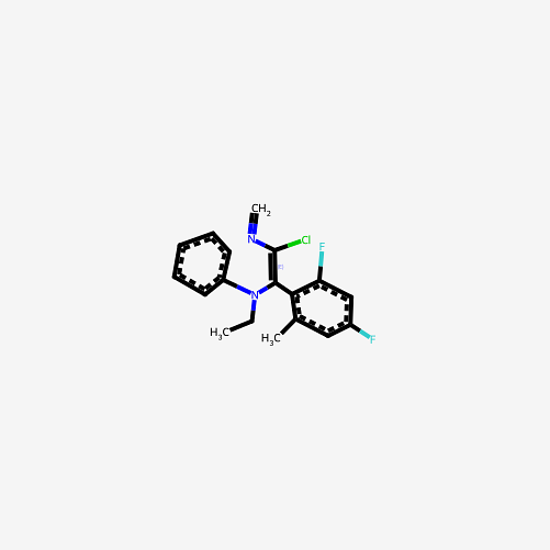 C=N/C(Cl)=C(/c1c(C)cc(F)cc1F)N(CC)c1ccccc1